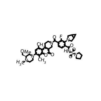 COC[C@H]1CN(c2cc(C)c3c4c(c(=O)oc3c2C)CN(C(=O)c2ccc(C(=O)NS(=O)(=O)N3CCCC3)c(N3CC5CC5C3)c2F)CC4)CCN1C